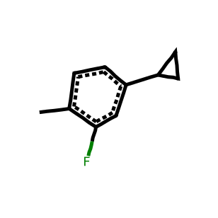 Cc1ccc(C2CC2)cc1F